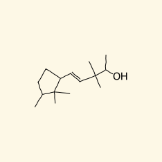 CC(O)C(C)(C)C=CC1CCC(C)C1(C)C